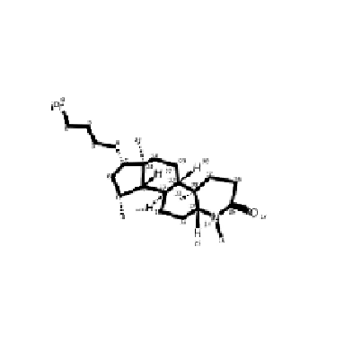 CC(C)CCCC[C@H]1C[C@@H](C)[C@H]2[C@@H]3CC[C@H]4N(C)C(=O)CC[C@]4(C)[C@H]3CC[C@]12C